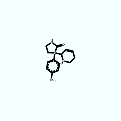 CC(C)N1CCC=CC1[N+]1(c2ccc([N+](=O)[O-])cc2)CCNC1=O